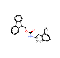 O=C(N[C@H](Cc1ccccc1C(F)(F)F)C(=O)O)OCC1c2ccccc2-c2ccccc21